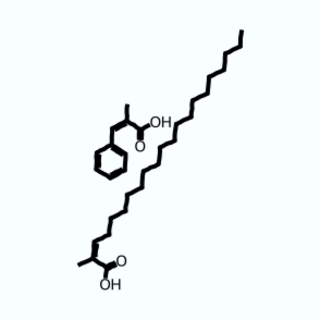 CC(=Cc1ccccc1)C(=O)O.CCCCCCCCCCCCCCCCCCC=C(C)C(=O)O